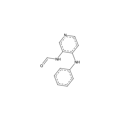 O=CNc1cnccc1Nc1ccccc1